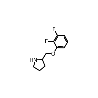 Fc1cccc(OCC2CCCN2)c1F